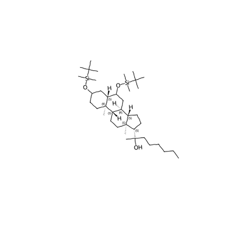 CCCCCCC(C)(O)[C@H]1CC[C@H]2[C@@H]3CC(O[Si](C)(C)C(C)(C)C)[C@H]4CC(O[Si](C)(C)C(C)(C)C)CC[C@]4(C)[C@H]3CC[C@]12C